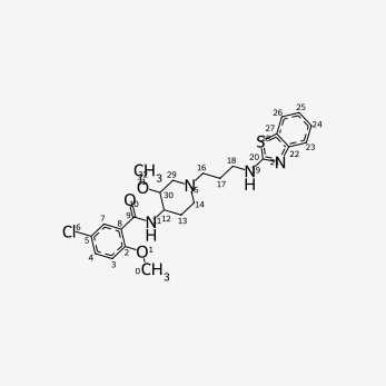 COc1ccc(Cl)cc1C(=O)NC1CCN(CCCNc2nc3ccccc3s2)CC1OC